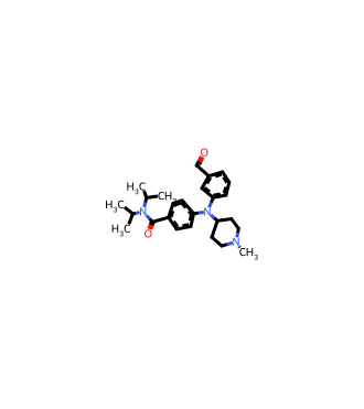 CC(C)N(C(=O)c1ccc(N(c2cccc(C=O)c2)C2CCN(C)CC2)cc1)C(C)C